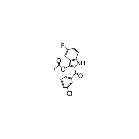 CC(=O)Oc1c(C(=O)c2cccc(Cl)c2)[nH]c2ccc(F)cc12